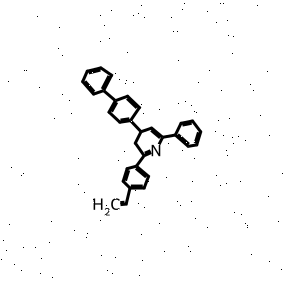 C=Cc1ccc(C2=NC(c3ccccc3)=CC(c3ccc(-c4ccccc4)cc3)C2)cc1